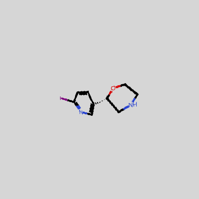 Ic1ccc([C@H]2CNCCO2)cn1